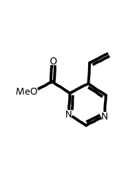 C=Cc1cncnc1C(=O)OC